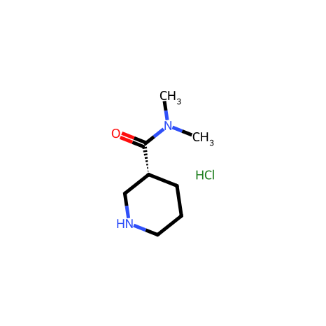 CN(C)C(=O)[C@@H]1CCCNC1.Cl